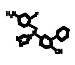 N#Cc1ccc(N(Cc2ccc(N)cc2F)n2cnnc2)cc1-c1ccccc1